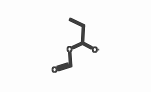 CCC([O])OC=O